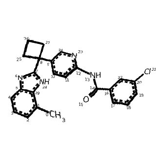 Cc1cccc2nc(C3(c4ccc(NC(=O)c5cccc(Cl)c5)nc4)CCC3)[nH]c12